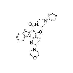 O=C(c1c(=O)c2ccc(N3CCOCC3)nc2n2c1sc1ccccc12)N1CCN(c2ccccn2)CC1